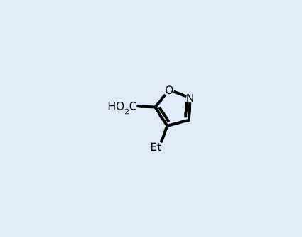 CCc1cnoc1C(=O)O